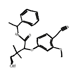 COc1cc(OC(C(=O)NC(C)c2ccccc2)C(C)(C)CO)ccc1C#N